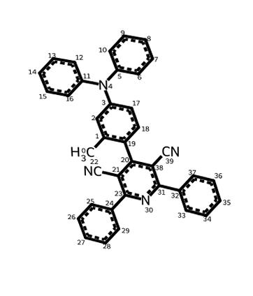 Cc1cc(N(c2ccccc2)c2ccccc2)ccc1-c1c(C#N)c(-c2ccccc2)nc(-c2ccccc2)c1C#N